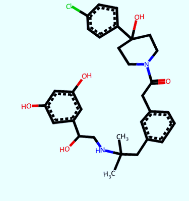 CC(C)(Cc1cccc(CC(=O)N2CCC(O)(c3ccc(Cl)cc3)CC2)c1)NCC(O)c1cc(O)cc(O)c1